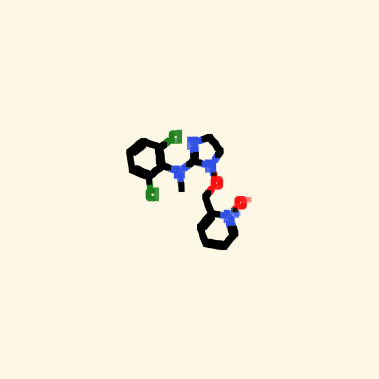 CN(C1=NCCN1OCc1cccc[n+]1[O-])c1c(Cl)cccc1Cl